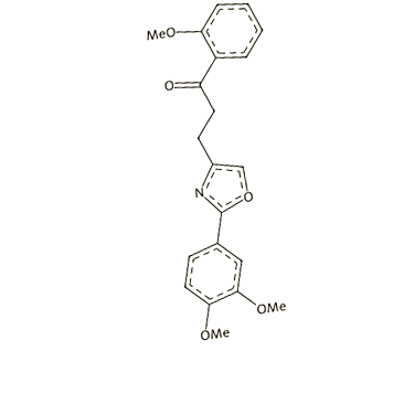 COc1ccc(-c2nc(CCC(=O)c3ccccc3OC)co2)cc1OC